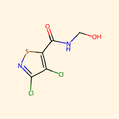 O=C(NCO)c1snc(Cl)c1Cl